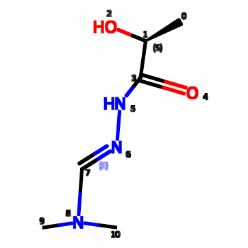 C[C@H](O)C(=O)N/N=C/N(C)C